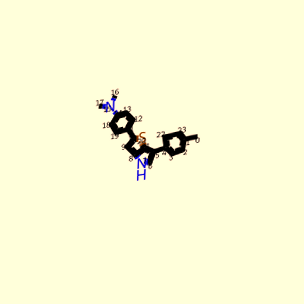 Cc1ccc(-c2c[nH]c3cc(-c4ccc(N(C)C)cc4)sc23)cc1